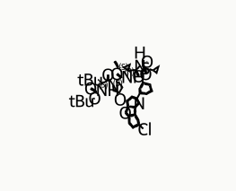 C=C[C@@H]1C[C@]1(NC(=O)[C@@H]1CC(Oc2cc(-c3ccccc3)nc3c2oc2ccc(Cl)cc23)CN1C(=O)[C@@H](NC(=O)OC(C)(C)C)C(C)(C)C)C(=O)NS(=O)(=O)C1CC1